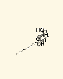 CCCCCCCCCCCCCCC(O)C(=O)NC(CCCC)C(=O)NCC(=O)O